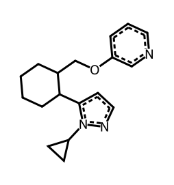 c1cncc(OCC2CCCCC2c2ccnn2C2CC2)c1